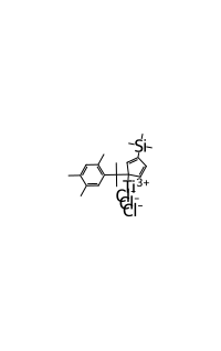 Cc1cc(C)c(C(C)(C)[C]2([Ti+3])C=CC([Si](C)(C)C)=C2)cc1C.[Cl-].[Cl-].[Cl-]